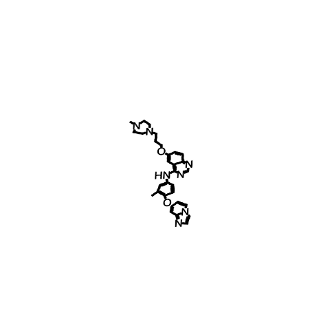 Cc1cc(Nc2ncnc3ccc(OCCCN4CCN(C)CC4)cc23)ccc1Oc1ccn2ccnc2c1